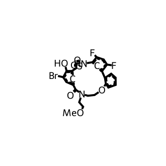 COCCN1CCOc2ccccc2-c2cc(c(F)cc2F)NS(=O)(=O)c2cc(cc(Br)c2O)C1=O